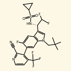 CC(C)(C)Cn1cc([C@H](NS(=O)(=O)C2CC2)C(F)F)c2cc(F)c(-c3c(C(F)(F)F)ccnc3C#N)cc21